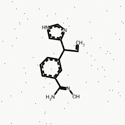 C=CC(c1cccc(C(N)=NO)c1)c1c[nH]cn1